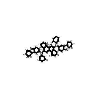 CC1C=CC=CC1N(C1=CC2C(C=C1)SC1C=CC=CC12)c1cc2c3ccccc3c(N(c3ccccc3)c3ccc4sc5ccccc5c4c3)cc2c2ccccc12